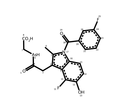 Cc1c(CC(=O)[AsH]CC(=O)O)c2c(F)c(O)ccc2n1C(=O)c1cccc(F)c1